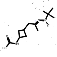 C/C(CC1CC(NC(=O)O)C1)=N\[S@+]([O-])C(C)(C)C